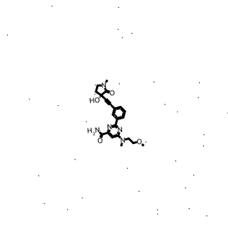 COCCN(C)c1cc(C(N)=O)nc(-c2cccc(C#C[C@]3(O)CCN(C)C3=O)c2)n1